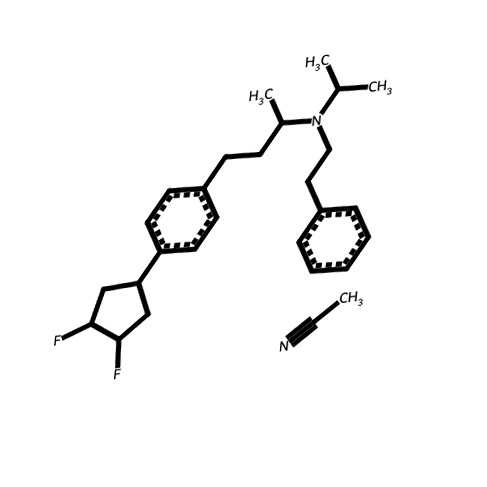 CC#N.CC(C)N(CCc1ccccc1)C(C)CCc1ccc(C2CC(F)C(F)C2)cc1